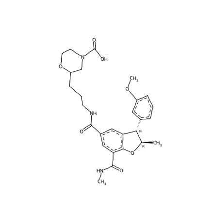 CNC(=O)c1cc(C(=O)NCCCC2CN(C(=O)O)CCO2)cc2c1O[C@H](C)[C@H]2c1cccc(OC)c1